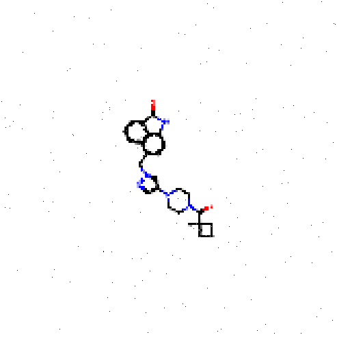 CC1(C(=O)N2CCN(c3cnn(Cc4ccc5c6c(cccc46)C(=O)N5)c3)CC2)CCC1